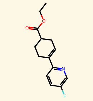 CCOC(=O)C1CC=C(c2ccc(F)cn2)CC1